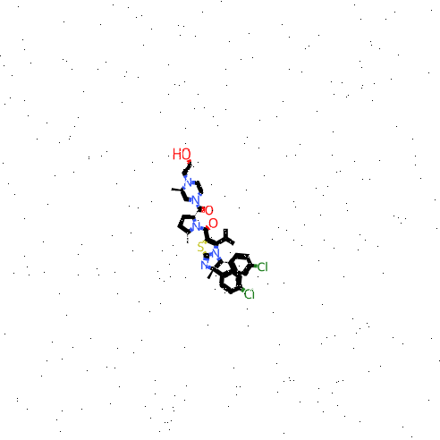 CC(C)C1=C(C(=O)N2[C@H](C)CC[C@@H]2C(=O)N2CCN(CCO)[C@H](C)C2)SC2=N[C@@](C)(c3ccc(Cl)cc3)[C@@H](c3ccc(Cl)cc3)N21